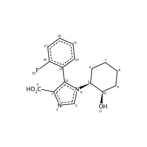 O=C(O)c1ncn([C@H]2CCCC[C@H]2O)c1-c1ccccc1F